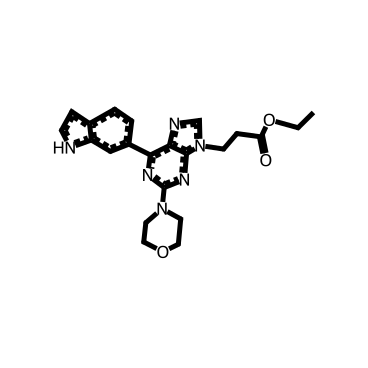 CCOC(=O)CCn1cnc2c(-c3ccc4cc[nH]c4c3)nc(N3CCOCC3)nc21